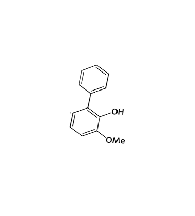 COc1cc[c]c(-c2ccccc2)c1O